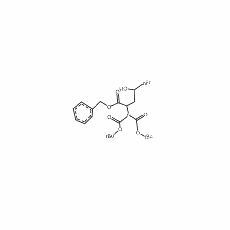 CCCC(O)CC(C(=O)OCc1ccccc1)N(C(=O)OC(C)(C)C)C(=O)OC(C)(C)C